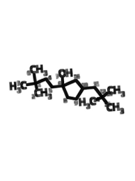 CC(C)(C)CCC1(O)CCC(CC(C)(C)C)C1